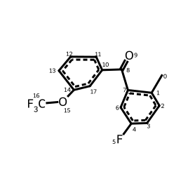 Cc1ccc(F)cc1C(=O)c1cccc(OC(F)(F)F)c1